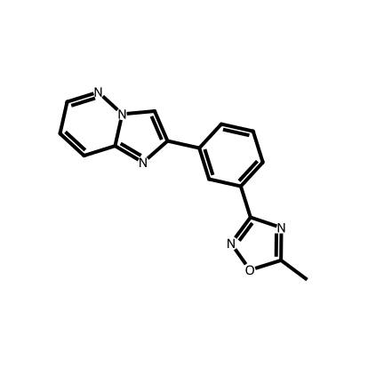 Cc1nc(-c2cccc(-c3cn4ncccc4n3)c2)no1